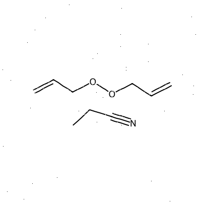 C=CCOOCC=C.CCC#N